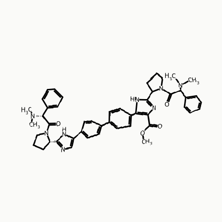 COC(=O)c1nc(C2CCCN2C(=O)[C@H](c2ccccc2)N(C)C)[nH]c1-c1ccc(-c2ccc(-c3cnc([C@@H]4CCCN4C(=O)[C@@H](c4ccccc4)N(C)C)[nH]3)cc2)cc1